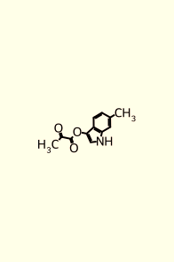 CC(=O)C(=O)Oc1c[nH]c2cc(C)ccc12